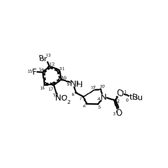 CC(C)(C)OC(=O)N1CCC(CNc2cc(Br)c(F)cc2[N+](=O)[O-])CC1